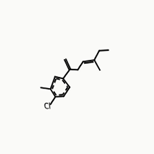 C=C(C/C=C(\C)CC)c1ccc(Cl)c(C)c1